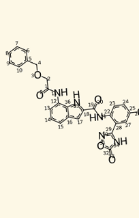 O=C(COCc1ccccc1)Nc1cccc2cc(C(=O)Nc3ccc(Cl)cc3-c3noc(=O)[nH]3)[nH]c12